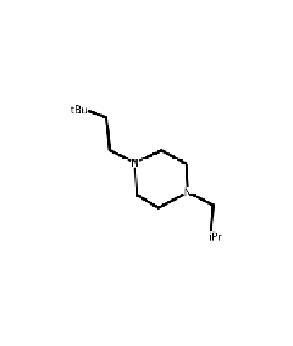 CC(C)CN1CCN(CCC(C)(C)C)CC1